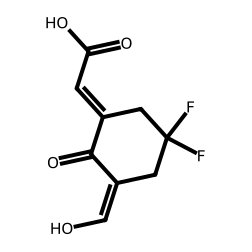 O=C(O)/C=C1\CC(F)(F)C/C(=C/O)C1=O